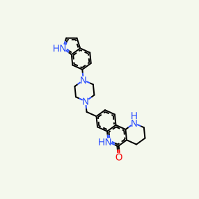 O=c1[nH]c2cc(CN3CCN(c4ccc5cc[nH]c5c4)CC3)ccc2c2c1CCCN2